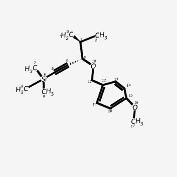 [CH2][C@@H](C)[C@@H](C#C[Si](C)(C)C)OCc1ccc(OC)cc1